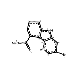 COC(=O)c1cccc2[nH]c3cc(Br)cnc3c12